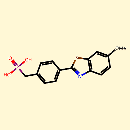 COc1ccc2nc(-c3ccc(CP(=O)(O)O)cc3)sc2c1